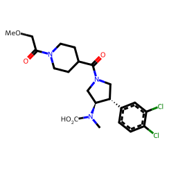 COCC(=O)N1CCC(C(=O)N2C[C@H](c3ccc(Cl)c(Cl)c3)[C@@H](N(C)C(=O)O)C2)CC1